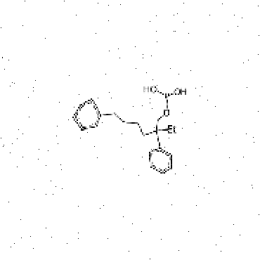 CCC(CCCCc1ccccc1)(COP(O)O)c1ccccc1